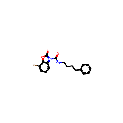 O=C(NCCCCc1ccccc1)n1c(=O)oc2c(Br)cccc21